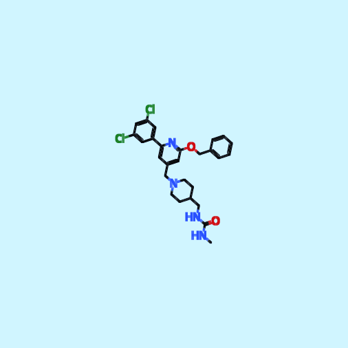 CNC(=O)NCC1CCN(Cc2cc(OCc3ccccc3)nc(-c3cc(Cl)cc(Cl)c3)c2)CC1